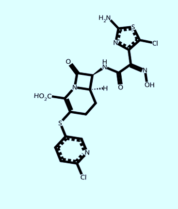 Nc1nc(/C(=N/O)C(=O)N[C@@H]2C(=O)N3C(C(=O)O)=C(Sc4ccc(Cl)nc4)CC[C@H]23)c(Cl)s1